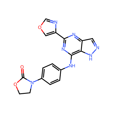 O=C1OCCN1c1ccc(Nc2nc(-c3cocn3)nc3cn[nH]c23)cc1